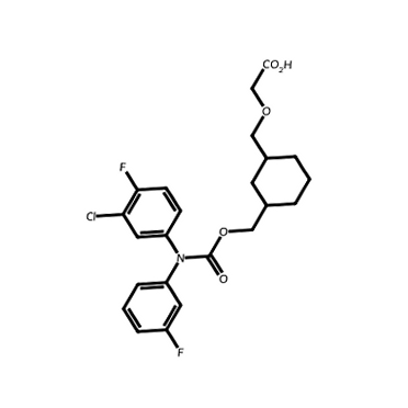 O=C(O)COCC1CCCC(COC(=O)N(c2cccc(F)c2)c2ccc(F)c(Cl)c2)C1